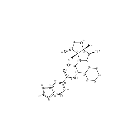 O=C(N[C@H](C(=O)N1C[C@H](Cl)[C@H]2OCC(=O)[C@H]21)C1CCCCC1)c1ccc2cn[nH]c2c1